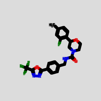 Cc1ccc(C2CN(C(=O)NCc3ccc(-c4nnc(C(F)(F)F)o4)cc3)CCO2)c(F)c1